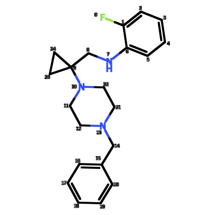 Fc1ccccc1NCC1(N2CCN(Cc3ccccc3)CC2)CC1